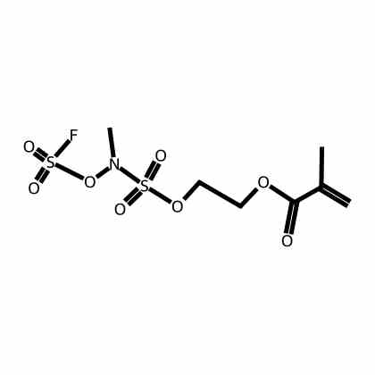 C=C(C)C(=O)OCCOS(=O)(=O)N(C)OS(=O)(=O)F